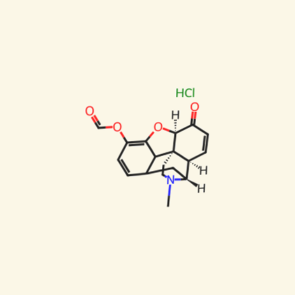 CN1CC[C@@]23C4C5=C(OC=O)C=CC4C[C@@H]1[C@@H]2C=CC(=O)[C@@H]3O5.Cl